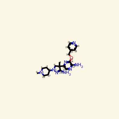 CN1CCC(N2CC(C)(c3cnc(N)c(OCc4ccncc4)n3)C(N)=N2)CC1